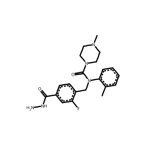 Cc1ccccc1N(Cc1ccc(C(=O)NN)cc1F)C(=O)N1CCN(C)CC1